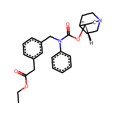 CCOC(=O)Cc1cccc(CN(C(=O)O[C@H]2CN3CCC2CC3)c2ccccc2)c1